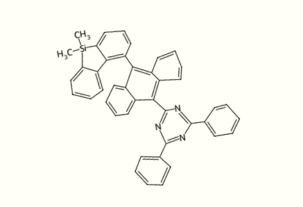 C[Si]1(C)c2ccccc2-c2c(-c3c4ccccc4c(-c4nc(-c5ccccc5)nc(-c5ccccc5)n4)c4ccccc34)cccc21